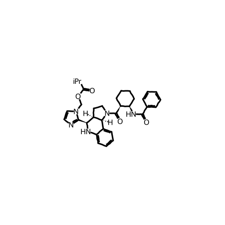 CC(C)C(=O)OCn1ccnc1[C@@H]1Nc2ccccc2[C@H]2[C@@H]1CCN2C(=O)[C@H]1CCCC[C@H]1NC(=O)c1ccccc1